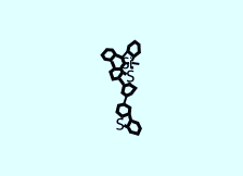 C[Si]1(C)c2ccccc2-c2c1c1c(ccc3c4cc(-c5ccc6sc7ccccc7c6c5)ccc4sc31)c1ccccc21